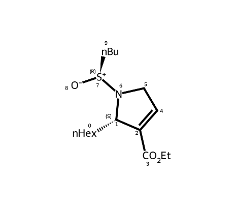 CCCCCC[C@H]1C(C(=O)OCC)=CCN1[S@@+]([O-])CCCC